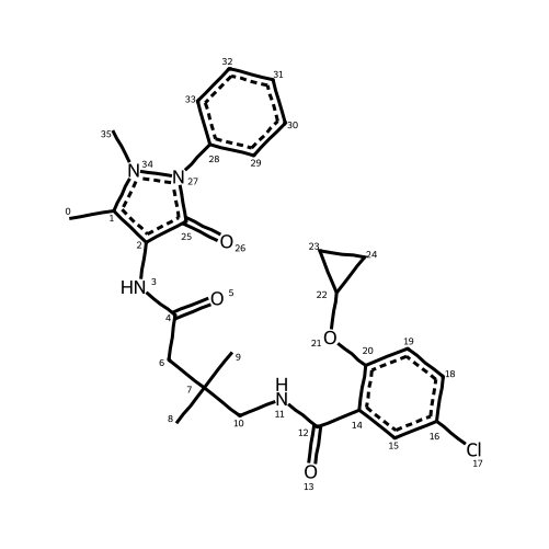 Cc1c(NC(=O)CC(C)(C)CNC(=O)c2cc(Cl)ccc2OC2CC2)c(=O)n(-c2ccccc2)n1C